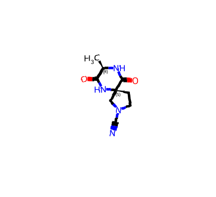 C[C@H]1NC(=O)[C@@]2(CCN(C#N)C2)NC1=O